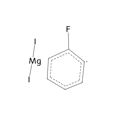 Fc1[c]cccc1.[I][Mg][I]